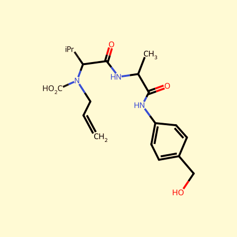 C=CCN(C(=O)O)C(C(=O)NC(C)C(=O)Nc1ccc(CO)cc1)C(C)C